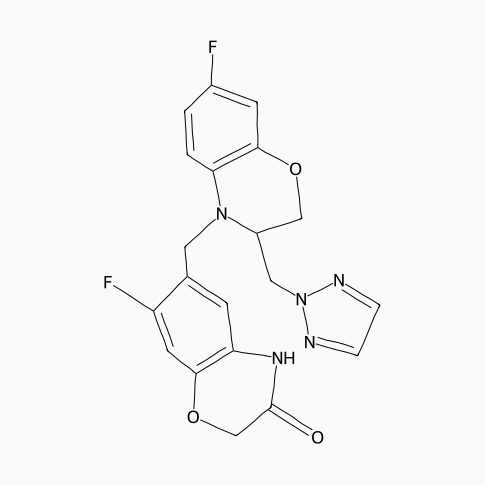 O=C1COc2cc(F)c(CN3c4ccc(F)cc4OCC3Cn3nccn3)cc2N1